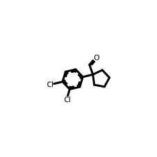 O=CC1(c2ccc(Cl)c(Cl)c2)CCCC1